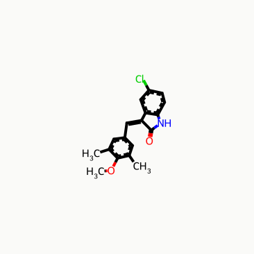 COc1c(C)cc(C=C2C(=O)Nc3ccc(Cl)cc32)cc1C